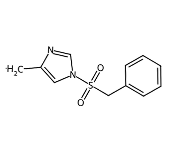 [CH2]c1cn(S(=O)(=O)Cc2ccccc2)cn1